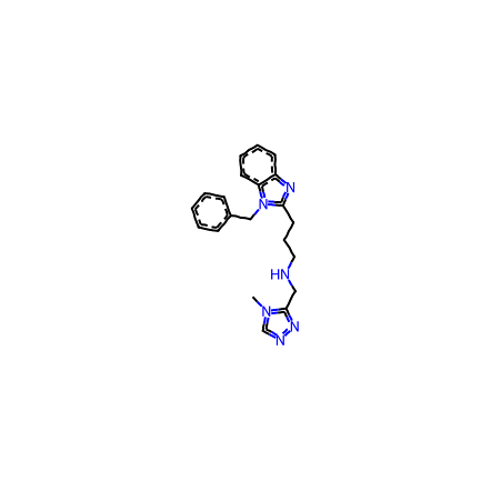 Cn1cnnc1CNCCCc1nc2ccccc2n1Cc1ccccc1